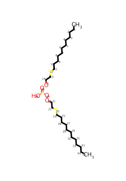 CCCCCCCCCCCCSCCOOP(O)OOCCSCCCCCCCCCCCC